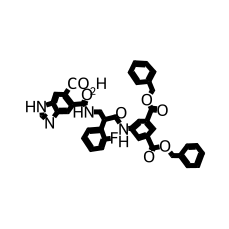 O=C(OCc1ccccc1)c1cc(NC(=O)C(CNC(=O)c2cc3nc[nH]c3cc2C(=O)O)c2ccccc2F)cc(C(=O)OCc2ccccc2)c1